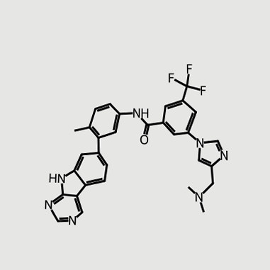 Cc1ccc(NC(=O)c2cc(-n3cnc(CN(C)C)c3)cc(C(F)(F)F)c2)cc1-c1ccc2c(c1)[nH]c1ncncc12